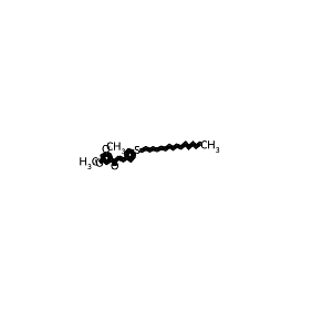 CCCCCCCCCCCCCCCCCSc1ccc(C=CC(=O)c2cc(OC)cc(OC)c2)cc1